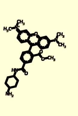 COC(=O)c1cc(C(=O)NC2CCC(N)CC2)ccc1-c1c2ccc(=[N+](C)C)cc-2oc2cc(N(C)C)ccc12